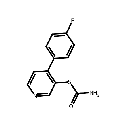 NC(=O)Sc1cnccc1-c1ccc(F)cc1